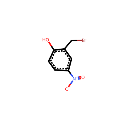 O=[N+]([O-])c1ccc(O)c(CBr)c1